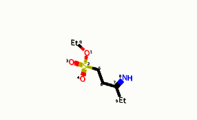 CCOS(=O)(=O)CCC(=N)CC